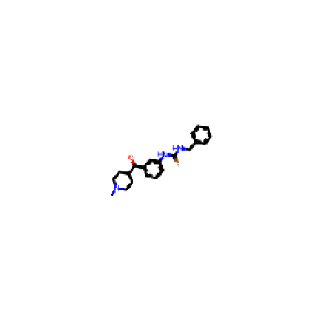 CN1CCC(C(=O)c2cccc(NC(=S)NCc3ccccc3)c2)CC1